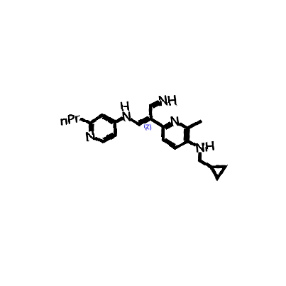 CCCc1cc(N/C=C(\C=N)c2ccc(NCC3CC3)c(C)n2)ccn1